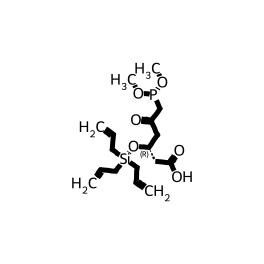 C=CC[Si](CC=C)(CC=C)O[C@@H](CC(=O)O)CC(=O)CP(OC)OC